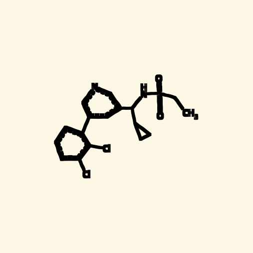 CCS(=O)(=O)NC(c1cncc(-c2cccc(Cl)c2Cl)c1)C1CC1